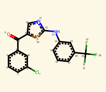 O=C(c1cccc(Cl)c1)c1cnc(Nc2cccc(C(F)(F)F)c2)s1